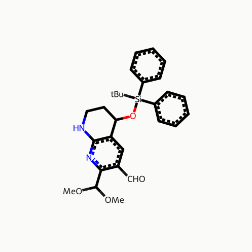 COC(OC)c1nc2c(cc1C=O)C(O[Si](c1ccccc1)(c1ccccc1)C(C)(C)C)CCN2